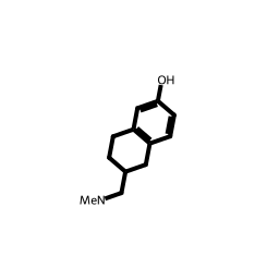 CNCC1CCc2cc(O)ccc2C1